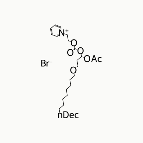 CCCCCCCCCCCCCCCCCCOCC[C@@H](OC(C)=O)OC(=O)OCC[n+]1ccccc1.[Br-]